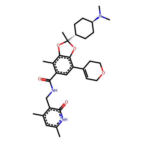 Cc1cc(C)c(CNC(=O)c2cc(C3=CCOCC3)c3c(c2C)OC(C)([C@H]2CC[C@H](N(C)C)CC2)O3)c(=O)[nH]1